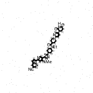 CCN(C(=O)C1CCN(c2ccc([C@@H]3CCC(=O)NC3=O)cn2)CC1)[C@H]1CC[C@H](c2nnc(-c3cnc(-c4ccc5cc(C#N)cnn45)cc3NC)s2)CC1